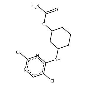 NC(=O)OC1CCCC(Nc2nc(Cl)ncc2Cl)C1